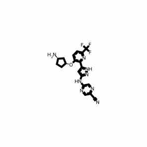 N#Cc1cnc(Nc2cc(-c3nc(C(F)(F)F)ccc3O[C@@H]3CC[C@H](N)C3)[nH]n2)cn1